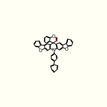 c1ccc(-c2ccc(N3c4cc5oc6ccccc6c5cc4C4(c5ccccc5Oc5ccccc54)c4cc5c(cc43)oc3ccccc35)cc2)cc1